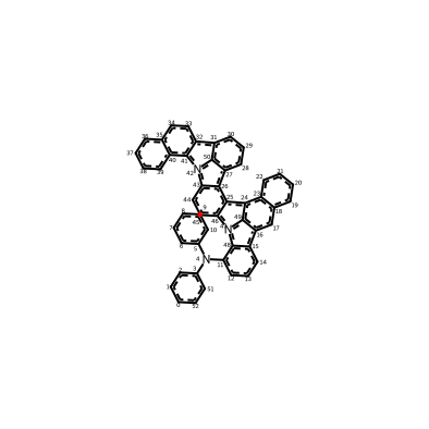 c1ccc(N(c2ccccc2)c2cccc3c4cc5ccccc5c5c6c7c8cccc9c%10ccc%11ccccc%11c%10n(c7ccc6n(c23)c45)c98)cc1